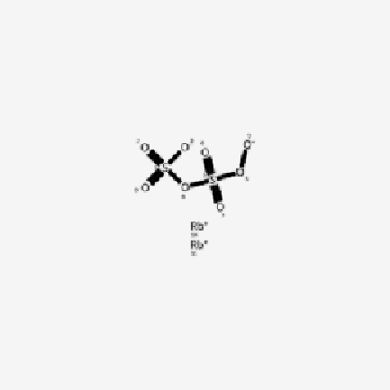 O=S(=O)([O-])OS(=O)(=O)O[O-].[Rb+].[Rb+]